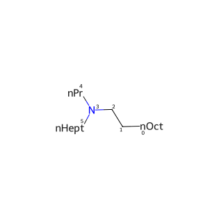 CCCCCCCCCCN(CCC)CCCCCCC